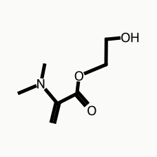 C=C(C(=O)OCCO)N(C)C